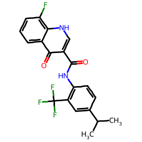 CC(C)c1ccc(NC(=O)c2c[nH]c3c(F)cccc3c2=O)c(C(F)(F)F)c1